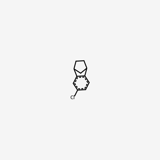 Clc1ccc2c(c1)C1CCC2C1